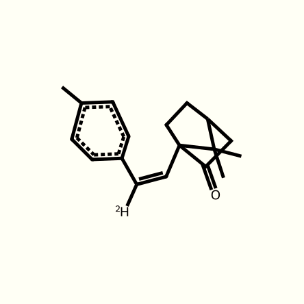 [2H]C(=CC12CCC(CC1=O)C2(C)C)c1ccc(C)cc1